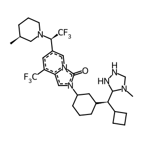 C[C@H]1CCCN([C@H](c2cc(C(F)(F)F)c3cn(C4CCCC([C@H](C5CCC5)C5NNCN5C)C4)c(=O)n3c2)C(F)(F)F)C1